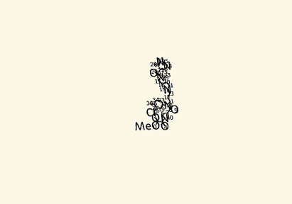 COC(=O)C(=O)N1CC(C(=O)N(CCCN2CC3=CN(C(=O)c4c(C)ncnc4C)CC3C2)c2ccc(C)c(Cl)c2)C1